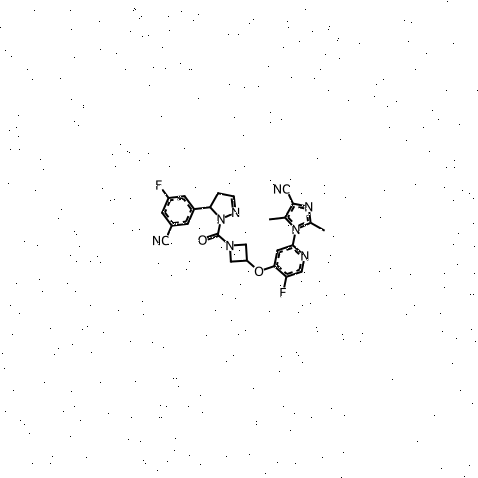 Cc1nc(C#N)c(C)n1-c1cc(OC2CN(C(=O)N3N=CCC3c3cc(F)cc(C#N)c3)C2)c(F)cn1